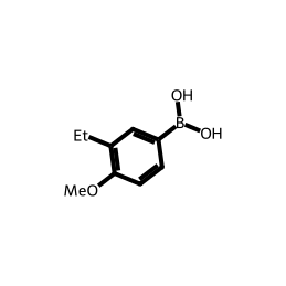 CCc1cc(B(O)O)ccc1OC